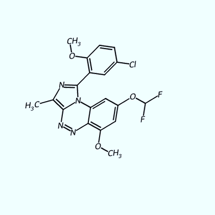 COc1ccc(Cl)cc1-c1nc(C)c2nnc3c(OC)cc(OC(F)F)cc3n12